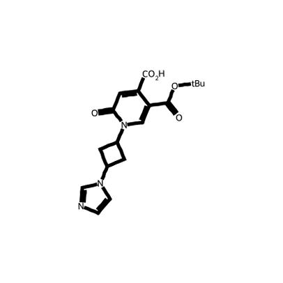 CC(C)(C)OC(=O)c1cn(C2CC(n3ccnc3)C2)c(=O)cc1C(=O)O